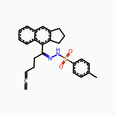 C=C=CCC/C(=N/NS(=O)(=O)c1ccc(C)cc1)c1c2c(cc3ccccc13)CCC2